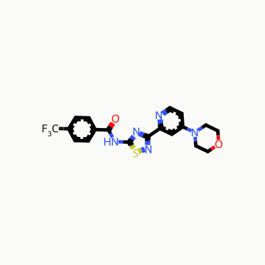 O=C(Nc1nc(-c2cc(N3CCOCC3)ccn2)ns1)c1ccc(C(F)(F)F)cc1